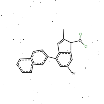 CC1=Cc2c(-c3ccc4ccccc4c3)cc(C(C)C)cc2[CH]1[Zr]([Cl])[Cl]